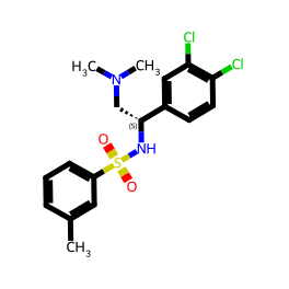 Cc1cccc(S(=O)(=O)N[C@H](CN(C)C)c2ccc(Cl)c(Cl)c2)c1